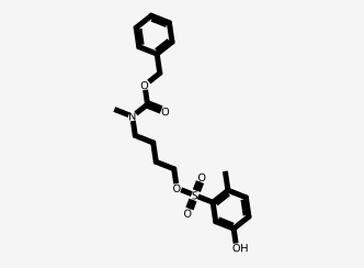 Cc1ccc(O)cc1S(=O)(=O)OCCCCN(C)C(=O)OCc1ccccc1